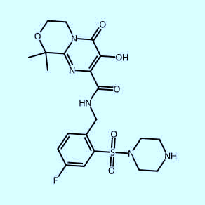 CC1(C)OCCn2c1nc(C(=O)NCc1ccc(F)cc1S(=O)(=O)N1CCNCC1)c(O)c2=O